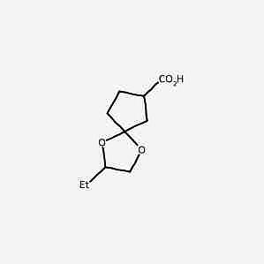 CCC1COC2(CCC(C(=O)O)C2)O1